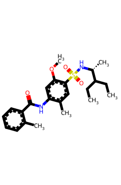 CCC(CC)[C@@H](C)NS(=O)(=O)c1cc(C)c(NC(=O)c2ccccc2C)cc1OC